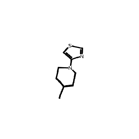 CC1CCN(c2cscn2)CC1